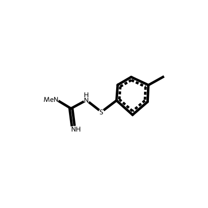 CNC(=N)NSc1ccc(C)cc1